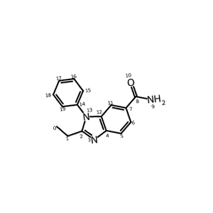 CCc1nc2ccc(C(N)=O)cc2n1-c1ccccc1